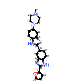 CN1CCN(c2ccc3[nH]c(-c4ccc5[nH]c(-c6ccco6)nc5c4)nc3c2)CC1